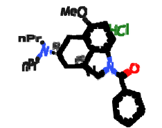 CCCN(CCC)[C@@H]1Cc2c(OC)ccc3c2[C@@H](C1)CN3C(=O)c1ccccc1.Cl